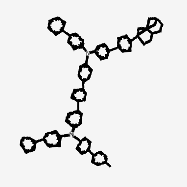 Cc1ccc(-c2ccc(N(c3ccc(-c4ccccc4)cc3)c3ccc(-c4ccc(-c5ccc(N(c6ccc(-c7ccccc7)cc6)c6ccc(-c7ccc(C89CCC%10CCC(CC%10C8)C9)cc7)cc6)cc5)cc4)cc3)cc2)cc1